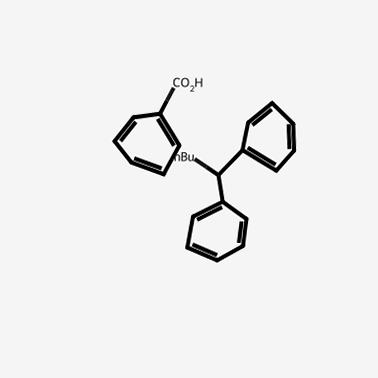 CCCCC(c1ccccc1)c1ccccc1.O=C(O)c1ccccc1